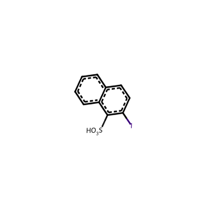 O=S(=O)(O)c1c(I)ccc2ccccc12